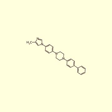 Cc1cn(-c2ccc(N3CCN(c4ccc(-c5ccccc5)cc4)CC3)cc2)cn1